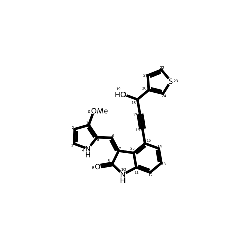 COc1cc[nH]c1C=C1C(=O)Nc2cccc(C#CC(O)c3ccsc3)c21